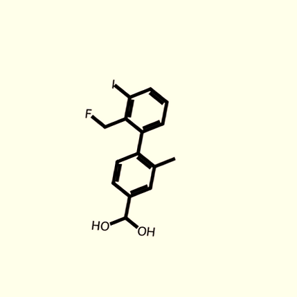 Cc1cc(C(O)O)ccc1-c1cccc(I)c1CF